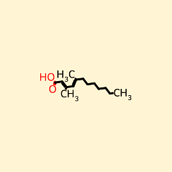 CCCCCCCC(C)=CC(C)=CC(=O)O